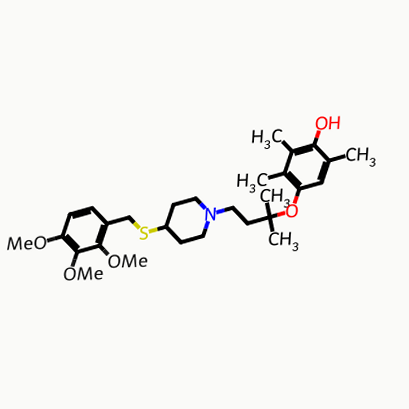 COc1ccc(CSC2CCN(CCC(C)(C)Oc3cc(C)c(O)c(C)c3C)CC2)c(OC)c1OC